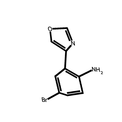 Nc1ccc(Br)cc1-c1cocn1